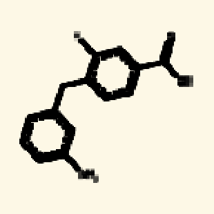 Nc1cccc(Cc2ccc(C(=O)O)cc2F)c1